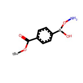 CC(C)(C)OC(=O)c1ccc(B(O)ON)cc1